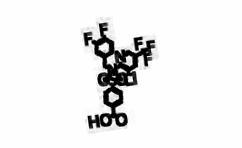 O=C(O)c1ccc(S(=O)(=O)N(Cc2ccc(F)c(F)c2)c2ncc(C(F)(F)F)cc2Cl)cc1